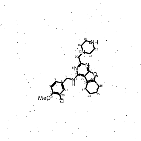 COc1ccc(CNc2nc(CN3CCNCC3)nc3oc4c(c23)CCCC4)cc1Cl